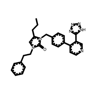 CCCc1cn(CCc2ccccc2)c(=O)n1Cc1ccc(-c2ccncc2-c2nnn[nH]2)cc1